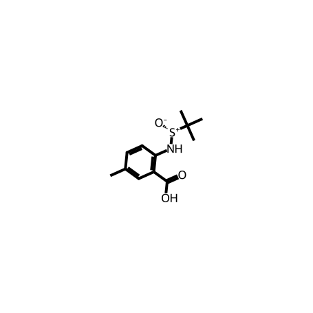 Cc1ccc(N[S@+]([O-])C(C)(C)C)c(C(=O)O)c1